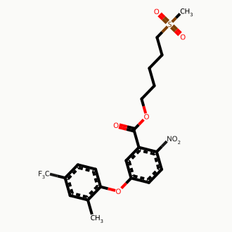 Cc1cc(C(F)(F)F)ccc1Oc1ccc([N+](=O)[O-])c(C(=O)OCCCCCS(C)(=O)=O)c1